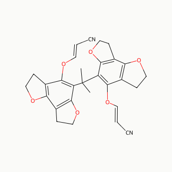 CC(C)(c1c(OC=CC#N)c2c(c3c1OCC3)OCC2)c1c(OC=CC#N)c2c(c3c1OCC3)OCC2